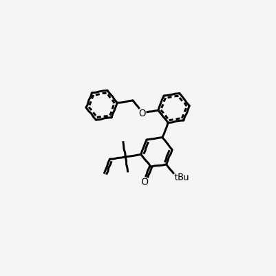 C=CC(C)(C)C1=CC(c2ccccc2OCc2ccccc2)C=C(C(C)(C)C)C1=O